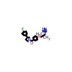 CC(C)(COc1ccc(C(=O)N2CCC(c3ccc(F)cc3)C2)cc1)Cn1cnnn1